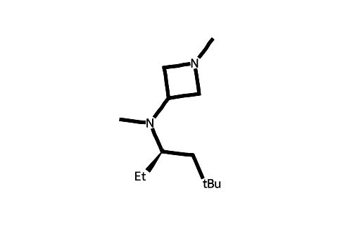 CC[C@H](CC(C)(C)C)N(C)C1CN(C)C1